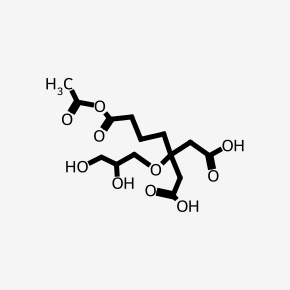 CC(=O)OC(=O)CCCC(CC(=O)O)(CC(=O)O)OCC(O)CO